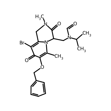 Cc1c(OCc2ccccc2)c(=O)c(Br)c2n1C(CN(C=O)C(C)C)C(=O)N(C)C2